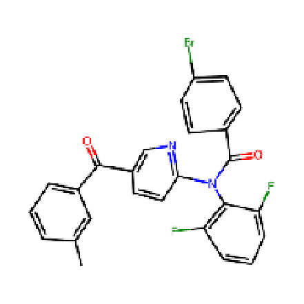 Cc1cccc(C(=O)c2ccc(N(C(=O)c3ccc(Br)cc3)c3c(F)cccc3F)nc2)c1